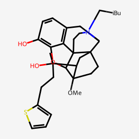 CCC(C)CN1CCC23c4c5ccc(O)c4OC2C2(OC)CCC3(CC2C(C)(O)CCc2cccs2)C1C5